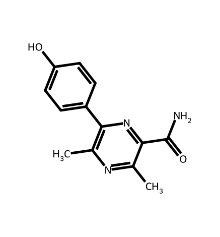 Cc1nc(C)c(-c2ccc(O)cc2)nc1C(N)=O